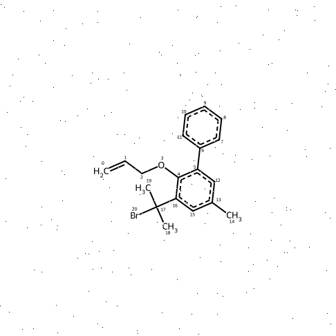 C=CCOc1c(-c2ccccc2)cc(C)cc1C(C)(C)Br